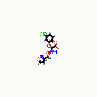 C[C@H](Oc1ccc(Cl)cc1)C(=O)NOCc1ccon1